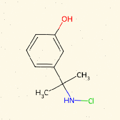 CC(C)(NCl)c1cccc(O)c1